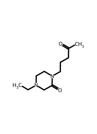 CCN1CCN(CCCC(C)=O)C(=O)C1